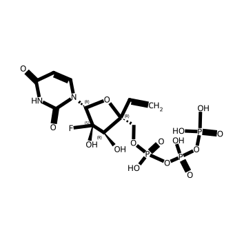 C=C[C@]1(COP(=O)(O)OP(=O)(O)OP(=O)(O)O)O[C@@H](n2ccc(=O)[nH]c2=O)[C@@](O)(F)[C@@H]1O